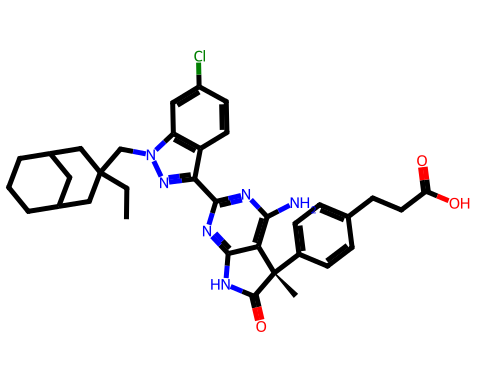 CCC1(Cn2nc(-c3nc(N)c4c(n3)NC(=O)[C@@]4(C)c3ccc(CCC(=O)O)cc3)c3ccc(Cl)cc32)CC2CCCC(C2)C1